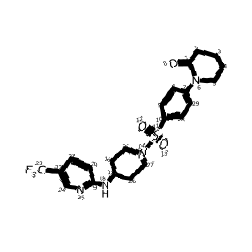 O=C1CCCCN1c1ccc(S(=O)(=O)N2CCC(Nc3ccc(C(F)(F)F)cn3)CC2)cc1